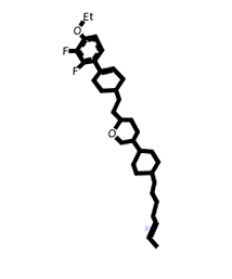 C/C=C/CCCCC1CCC(C2CCC(CCC3CC=C(c4ccc(OCC)c(F)c4F)CC3)OC2)CC1